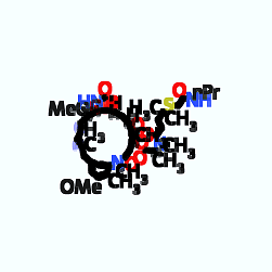 CCCNC(=O)CSC(C)(C)CCC(=O)N(C)[C@@H](C)C(=O)O[C@H]1CC(=O)N(C)c2cc(cc(OC)c2C)C/C(C)=C/C=C/[C@@H](OC)[C@@]2(O)C[C@@H](C[C@@H]3O[C@@]13C)OC(=O)N2